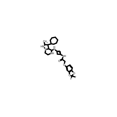 CC1NN2CCNC(NC34CC(NC(=O)COc5ccc6c(c5)OC(F)(F)O6)(C3)C4)C2C1C1CCCCCC1